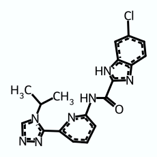 CC(C)n1cnnc1-c1cccc(NC(=O)c2nc3ccc(Cl)cc3[nH]2)n1